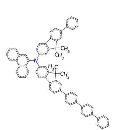 CC1(C)c2cc(-c3ccccc3)ccc2-c2ccc(N(c3ccc4c(c3)C(C)(C)c3cc(-c5ccc(-c6ccc(-c7ccccc7)cc6)cc5)ccc3-4)c3cc4ccccc4c4ccccc34)cc21